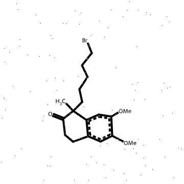 COc1cc2c(cc1OC)C(C)(CCCCCBr)C(=O)CC2